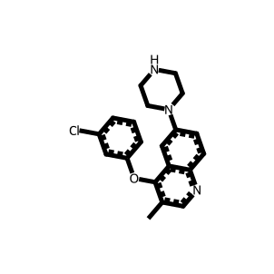 Cc1cnc2ccc(N3CCNCC3)cc2c1Oc1cccc(Cl)c1